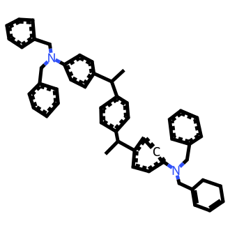 CC(c1ccc(C(C)c2ccc(N(Cc3ccccc3)Cc3ccccc3)cc2)cc1)c1ccc(N(CC2=CC=CCC2)Cc2ccccc2)cc1